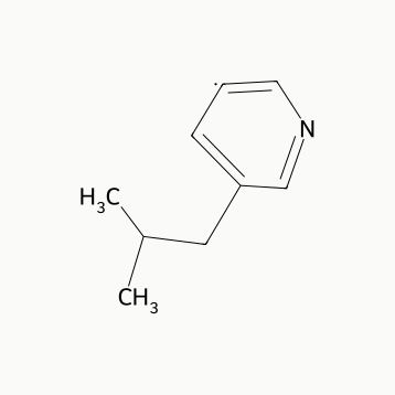 CC(C)Cc1c[c]cnc1